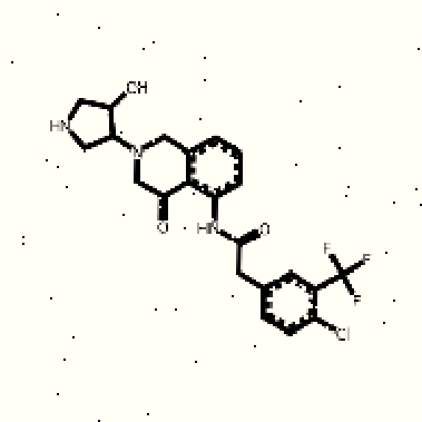 O=C(Cc1ccc(Cl)c(C(F)(F)F)c1)Nc1cccc2c1C(=O)CN(C1CNCC1O)C2